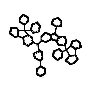 c1ccc(-c2ccc(N(c3ccc4c(c3)C(c3ccccc3)(c3ccccc3)c3ccccc3-4)c3ccc4c(c3)c3cc(C5(c6ccccc6)c6ccccc6-c6ccccc65)ccc3n4-c3ccccc3)cc2)cc1